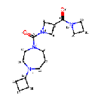 O=C(C1CN(C(=O)N2CCCN(C3CCC3)CC2)C1)N1CCC1